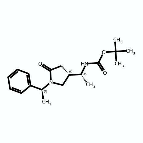 C[C@@H](NC(=O)OC(C)(C)C)[C@H]1CC(=O)N([C@@H](C)c2ccccc2)C1